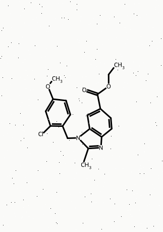 CCOC(=O)c1ccc2nc(C)n(Cc3ccc(OC)cc3Cl)c2c1